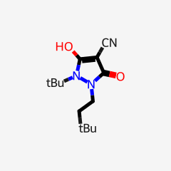 CC(C)(C)CCn1c(=O)c(C#N)c(O)n1C(C)(C)C